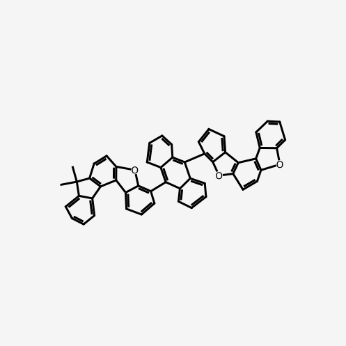 CC1(C)c2ccccc2-c2c1ccc1oc3c(-c4c5ccccc5c(-c5cccc6c5oc5ccc7oc8ccccc8c7c56)c5ccccc45)cccc3c21